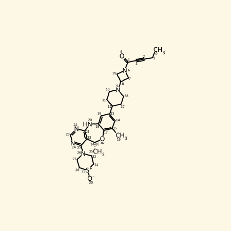 CCC#CC(=O)N1CC(N2CCC(c3cc(C)c4c(c3)Nc3ncnc(N5CC[S+]([O-])CC5)c3[C@@H](C)O4)CC2)C1